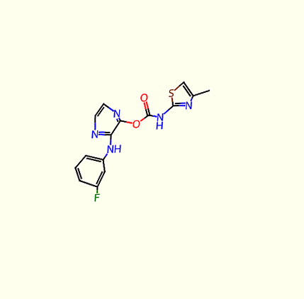 Cc1csc(NC(=O)Oc2nccnc2Nc2cccc(F)c2)n1